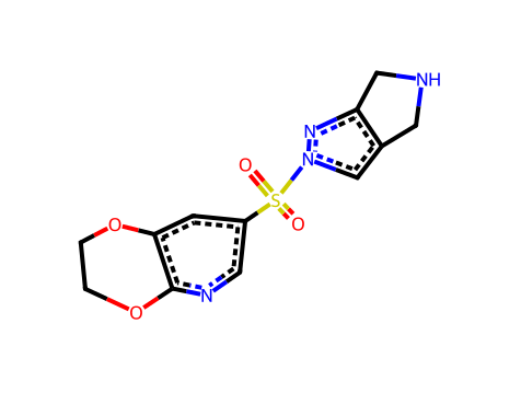 O=S(=O)(c1cnc2c(c1)OCCO2)n1cc2c(n1)CNC2